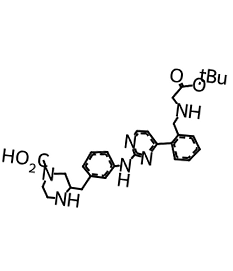 CC(C)(C)OC(=O)CNCc1ccccc1-c1ccnc(Nc2cccc(CC3CN(C(=O)O)CCN3)c2)n1